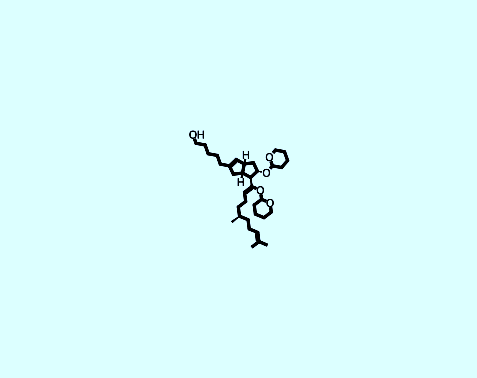 CC(C)=CCC[C@@H](C)CCC=C(OC1CCCCO1)[C@H]1[C@@H]2CC(CCCCCO)=C[C@@H]2C[C@@H]1OC1CCCCO1